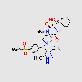 CCCCN1C(=O)[C@@H]([C@H](O)C2CCCCC2)NC(=O)C12CCN(C(c1ccc(S(=O)(=O)NC)cc1)c1c(C)n[nH]c1C)CC2